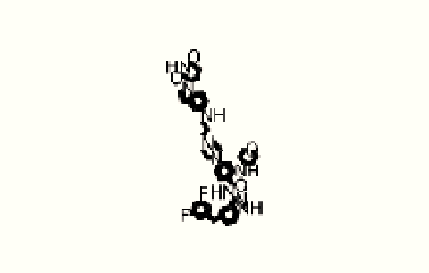 O=C1CCC(n2ccc3cc(NCCCN4CCN(c5ccc(C(=O)Nc6n[nH]c7ccc(Cc8cc(F)cc(F)c8)cc67)c(NC6CCOCC6)c5)CC4)ccc32)C(=O)N1